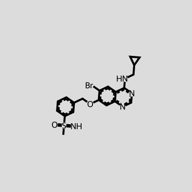 CS(=N)(=O)c1cccc(COc2cc3ncnc(NCC4CC4)c3cc2Br)c1